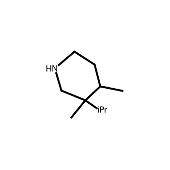 CC(C)C1(C)CNCCC1C